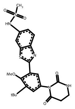 COc1c(-c2nc3ccc(NS(C)(=O)=O)cc3s2)cc(N2C(=O)CCNC2=O)cc1C(C)(C)C